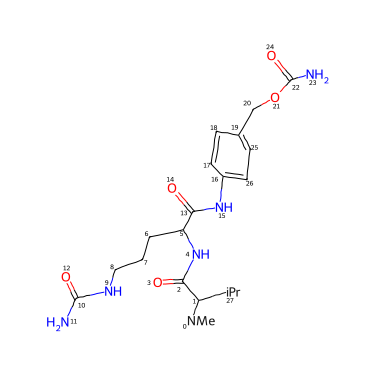 CNC(C(=O)NC(CCCNC(N)=O)C(=O)Nc1ccc(COC(N)=O)cc1)C(C)C